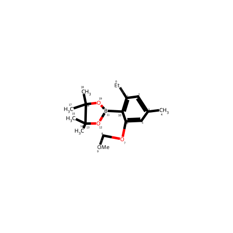 CCc1cc(C)cc(OCOC)c1B1OC(C)(C)C(C)(C)O1